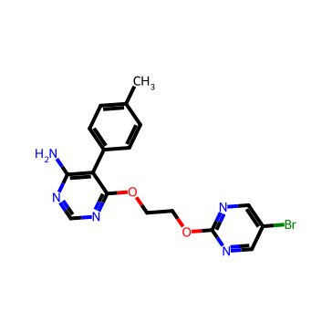 Cc1ccc(-c2c(N)ncnc2OCCOc2ncc(Br)cn2)cc1